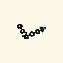 Cc1noc(-c2ccc(-c3ccc(C4(C(=O)O)CC4)cc3)cc2)c1CN1CCC(c2ccccc2)C1